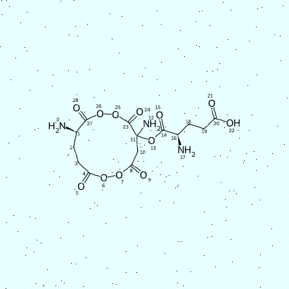 N[C@@H]1CCC(=O)OOC(=O)CC(N)(OC(=O)[C@H](N)CCC(=O)O)C(=O)OOC1=O